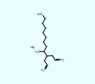 Br.C=CCC(CC=C)C(N)CCCCCCCCCCCCCCCCC